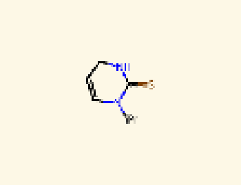 CC(C)N1C=CCNC1=S